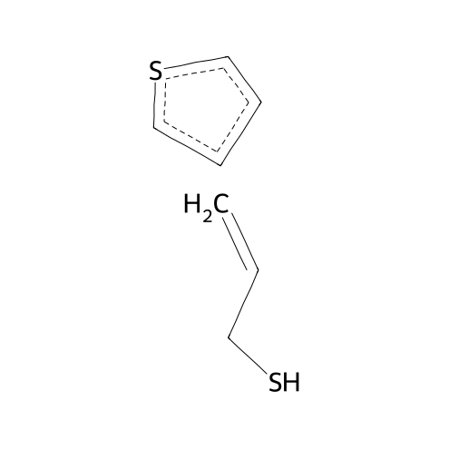 C=CCS.c1ccsc1